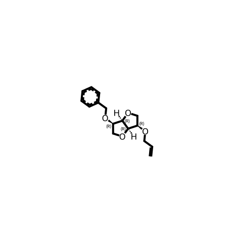 C=CCO[C@@H]1CO[C@H]2[C@@H]1OC[C@H]2OCc1ccccc1